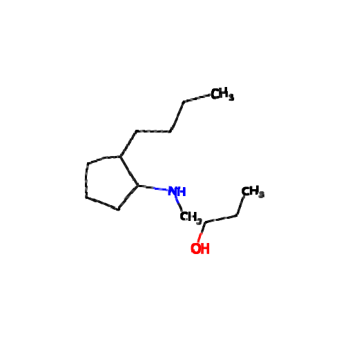 CCCCC1CCCC1NC.CCCO